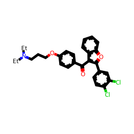 CCN(CC)CCCOc1ccc(C(=O)c2c(-c3ccc(Cl)c(Cl)c3)oc3ccccc23)cc1